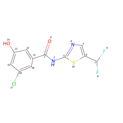 O=C(Nc1ncc(C(F)F)s1)c1cc(O)cc(Cl)c1